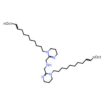 CCCCCCCCC=CCCCCCCCCN1CCCN=C1CNCC1=NCCCN1CCCCCCCCC=CCCCCCCCC